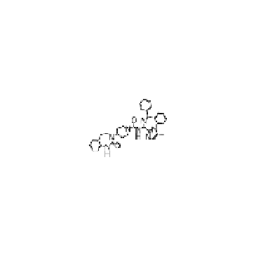 Cc1cnc2n1-c1ccccc1C(c1ccccc1)=NC2NC(=O)N1CCC(N2CCc3ccccc3NC2=O)CC1